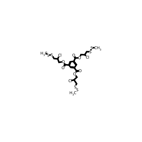 CSSCC(Cl)COC(=O)c1cc(C(=O)OCC(Cl)CSSC)cc(C(=O)OCC(Cl)CSSC)c1